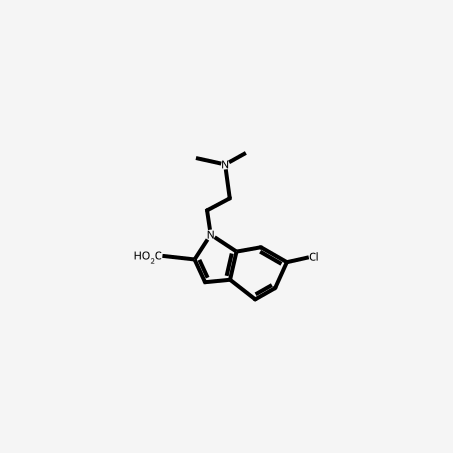 CN(C)CCn1c(C(=O)O)cc2ccc(Cl)cc21